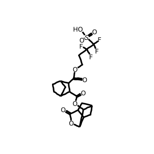 O=C1OC2C3CC(CC13)C2OC(=O)C1C2CCC(C2)C1C(=O)OCCC(F)(F)C(F)(F)S(=O)(=O)O